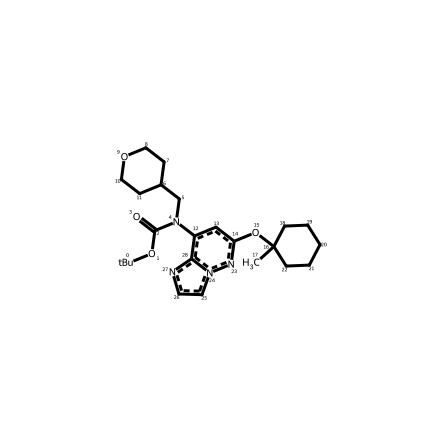 CC(C)(C)OC(=O)N(CC1CCOCC1)c1cc(OC2(C)CCCCC2)nn2ccnc12